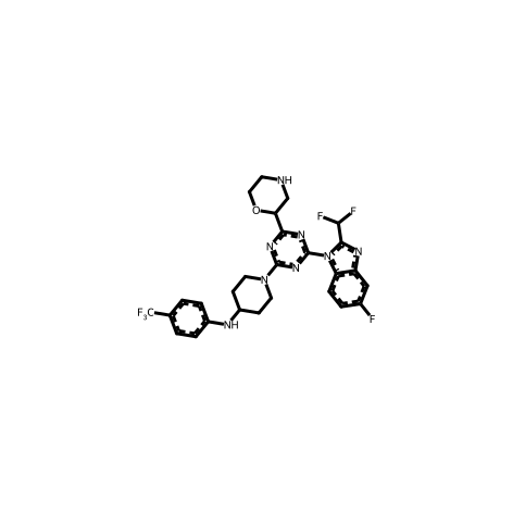 Fc1ccc2c(c1)nc(C(F)F)n2-c1nc(C2CNCCO2)nc(N2CCC(Nc3ccc(C(F)(F)F)cc3)CC2)n1